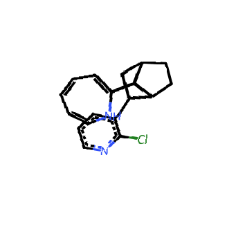 Clc1ncccc1C1CC2CCC1C2C1=CC=CC=CN1